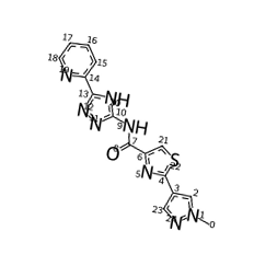 Cn1cc(-c2nc(C(=O)Nc3nnc(-c4ccccn4)[nH]3)cs2)cn1